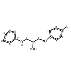 Cc1ccc(OCC(O)COc2ccccc2)cc1